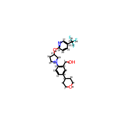 OCc1cc(C2CCOCC2)ccc1N1CCC(Oc2ccc(C(F)(F)F)cn2)C1